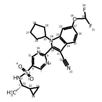 C[C@H](NS(=O)(=O)c1cnc(-c2c(C#N)c3ccc(OC(F)F)cc3n2C2CCCC2)nc1)C1CC1